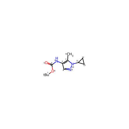 Cc1c(NC(=O)OC(C)(C)C)cnn1C1CC1